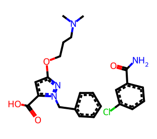 CN(C)CCCOc1cc(C(=O)O)n(Cc2ccccc2)n1.NC(=O)c1cccc(Cl)c1